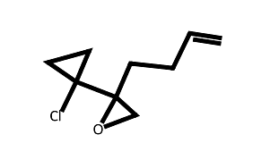 C=CCCC1(C2(Cl)CC2)CO1